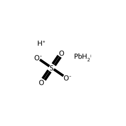 O=S(=O)([O-])[O-].[H+].[PbH2]